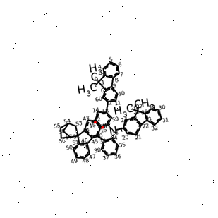 CC1(C)c2ccccc2-c2ccc(-c3cccc(N(c4ccc5c(c4)C(C)(C)c4ccccc4-5)c4ccccc4-c4cccc5c4-c4ccccc4C54CC5CCC4C5)c3)cc21